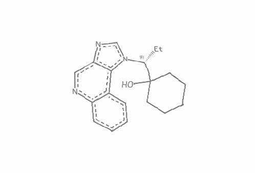 CC[C@@H](n1cnc2cnc3ccccc3c21)C1(O)CCCCC1